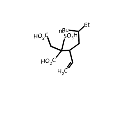 C=CC(CC(CC)CCCC)C(CC(=O)O)(C(=O)O)S(=O)(=O)O